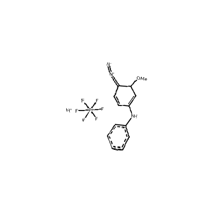 COC1C=C(Nc2ccccc2)C=CC1=[N+]=[N-].F[P-](F)(F)(F)(F)F.[H+]